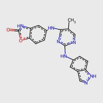 Cc1cnc(Nc2ccc3[nH]ncc3c2)nc1Nc1ccc2oc(=O)[nH]c2c1